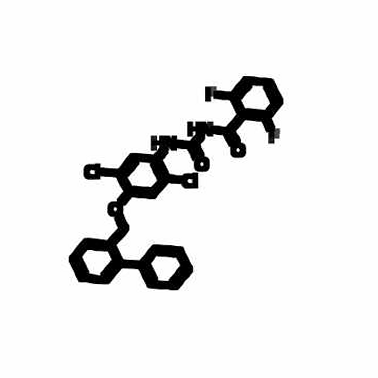 O=C(NC(=O)c1c(F)cccc1F)Nc1cc(Cl)c(OCc2ccccc2-c2ccccc2)cc1Cl